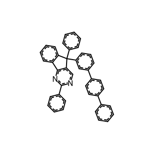 c1ccc(-c2ccc(-c3cccc(C4(c5ccccc5)c5ccccc5-c5nc(-c6ccccc6)ncc54)c3)cc2)cc1